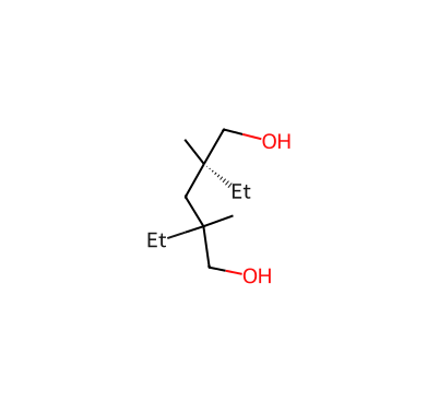 CCC(C)(CO)C[C@](C)(CC)CO